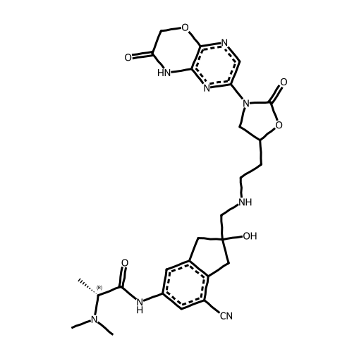 C[C@H](C(=O)Nc1cc(C#N)c2c(c1)CC(O)(CNCCC1CN(c3cnc4c(n3)NC(=O)CO4)C(=O)O1)C2)N(C)C